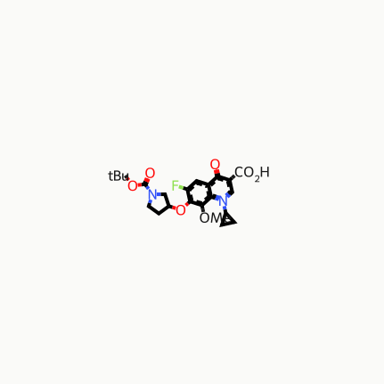 COc1c(OC2CCN(C(=O)OC(C)(C)C)C2)c(F)cc2c(=O)c(C(=O)O)cn(C3CC3)c12